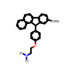 CCN(CC)CCOc1ccc(C2c3cc(OC)ccc3-c3ccc4ccccc4c32)cc1